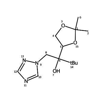 CC1(C)OCC(C(O)(Cn2cncn2)C(C)(C)C)O1